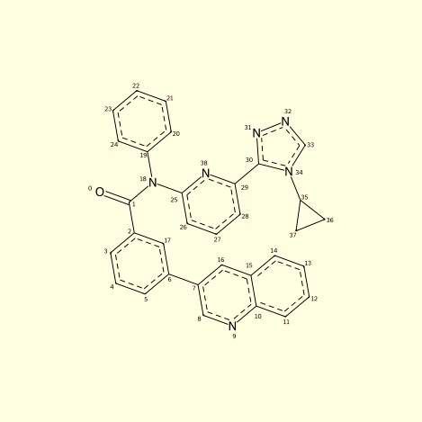 O=C(c1cccc(-c2cnc3ccccc3c2)c1)N(c1ccccc1)c1cccc(-c2nncn2C2CC2)n1